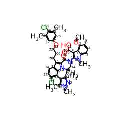 COc1cccc2c1c(C(=O)O)c(N1C[C@@H](C)n3c(c(CCCOc4cc(C)c(Cl)c(C)c4)c4ccc(Cl)c(-c5c(C)nn(C)c5C)c43)C1=O)n2C